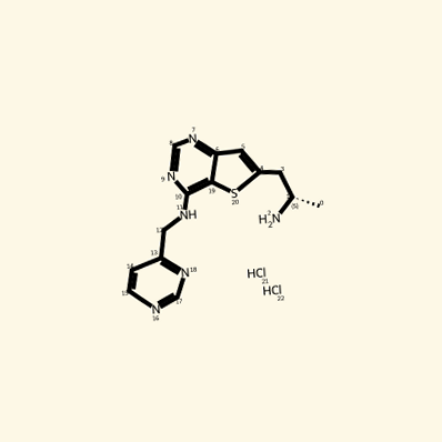 C[C@H](N)Cc1cc2ncnc(NCc3ccncn3)c2s1.Cl.Cl